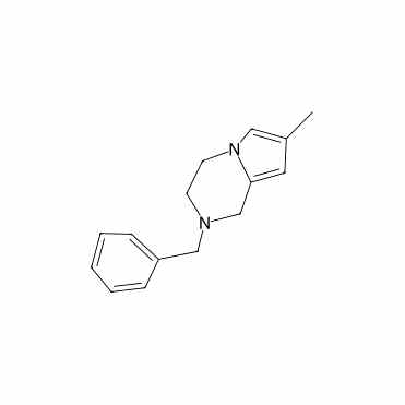 Cc1cc2n(c1)CCN(Cc1ccccc1)C2